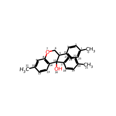 Cc1ccc(C2COc3cc(C)ccc3C2(O)c2ccc(C)cc2)cc1